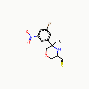 CC1(c2cc(Br)cc([N+](=O)[O-])c2)COCC(C=S)N1